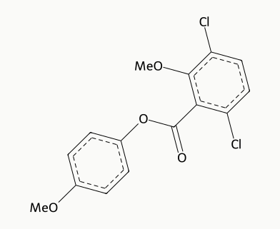 COc1ccc(OC(=O)c2c(Cl)ccc(Cl)c2OC)cc1